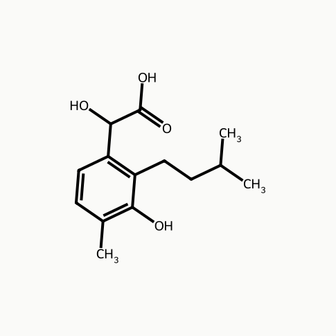 Cc1ccc(C(O)C(=O)O)c(CCC(C)C)c1O